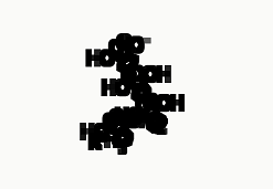 O=C(O)c1ccccc1C(=O)O.O=C(O)c1ccccc1C(=O)O.O=C(O)c1ccccc1C(=O)O.O=C([O-])c1ccccc1C(=O)O.P.[K+]